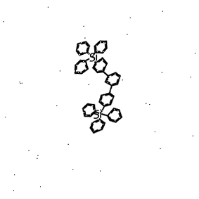 c1ccc([Si](c2ccccc2)(c2ccccc2)c2ccc(-c3cccc(-c4ccc([Si](c5ccccc5)(c5ccccc5)c5ccccc5)cc4)c3)cc2)cc1